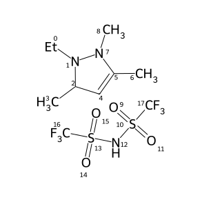 CCN1C(C)C=C(C)N1C.O=S(=O)(NS(=O)(=O)C(F)(F)F)C(F)(F)F